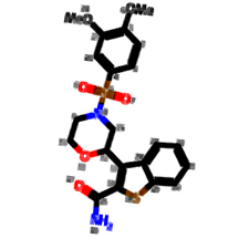 COc1ccc(S(=O)(=O)N2CCOC(c3c(C(N)=O)sc4ccccc34)C2)cc1OC